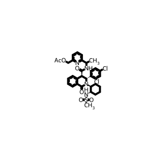 CC(=O)OCc1cccc(C(C)NC(=O)[C@@H]2c3ccccc3C(=O)N([C@H]3CCCC[C@@H]3NS(C)(=O)=O)[C@H]2c2ccc(Cl)cc2Cl)n1